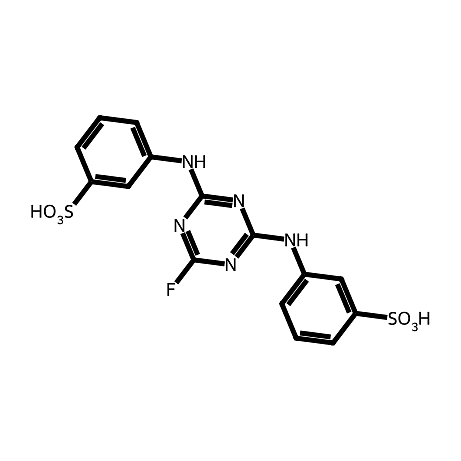 O=S(=O)(O)c1cccc(Nc2nc(F)nc(Nc3cccc(S(=O)(=O)O)c3)n2)c1